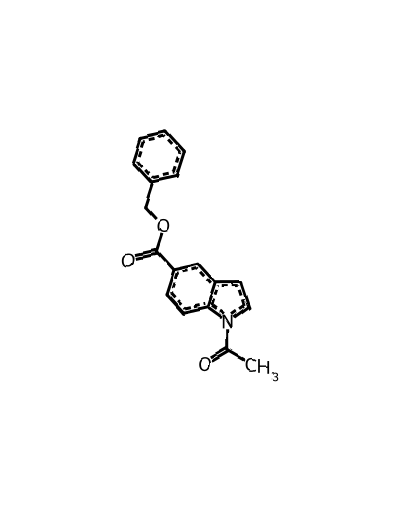 CC(=O)n1ccc2cc(C(=O)OCc3ccccc3)ccc21